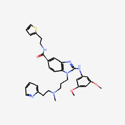 COc1cc(Nc2nc3cc(C(=O)NCCc4cccs4)ccc3n2CCCN(C)CCc2ccccn2)cc(OC)c1